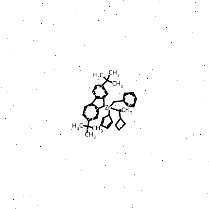 C=[C](C1CCC1)[Zr]([CH2]c1ccccc1)([CH]1C=CC=C1)[CH]1c2cc(C(C)(C)C)ccc2-c2ccc(C(C)(C)C)cc21